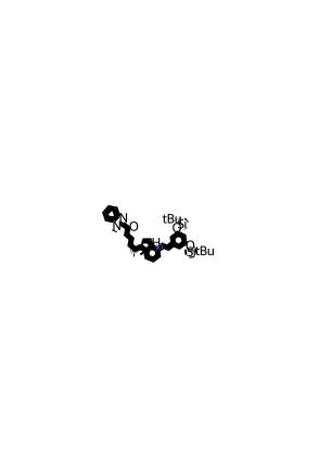 C[C@H](CCCC(=O)c1nc2ccccc2n1C)[C@H]1CC[C@H]2/C(=C/C=C3C[C@@H](O[Si](C)(C)C(C)(C)C)C[C@H](O[Si](C)(C)C(C)(C)C)C3)CCC[C@]12C